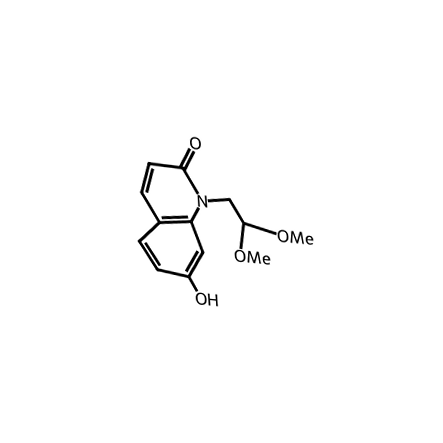 COC(Cn1c(=O)ccc2ccc(O)cc21)OC